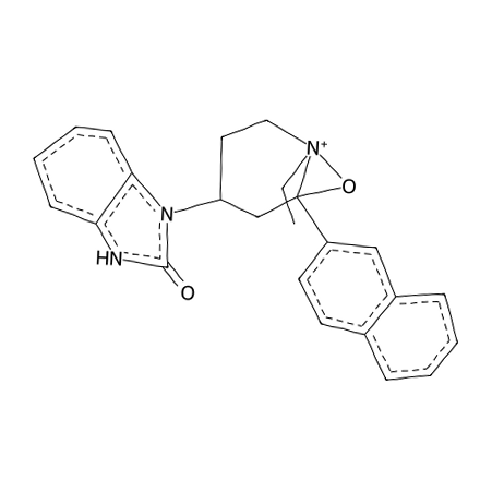 CC[N+]12CCC(n3c(=O)[nH]c4ccccc43)CC1(c1ccc3ccccc3c1)O2